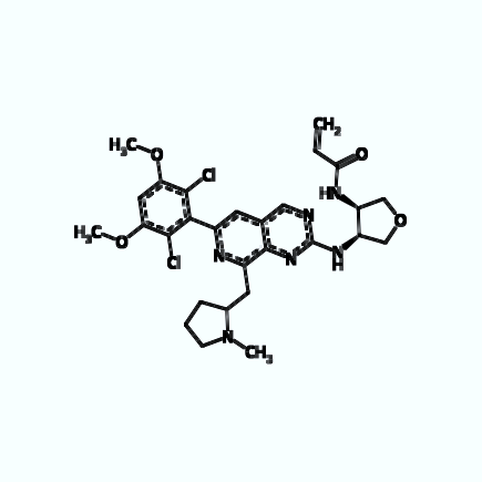 C=CC(=O)N[C@H]1COC[C@H]1Nc1ncc2cc(-c3c(Cl)c(OC)cc(OC)c3Cl)nc(CC3CCCN3C)c2n1